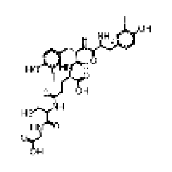 N[C@@H](Cc1ccc(O)c(I)c1)C(=O)N[C@@H](Cc1ccc(O)c(I)c1)C(=O)NC(CCC(=O)NC(CS)C(=O)NCC(=O)O)C(=O)O